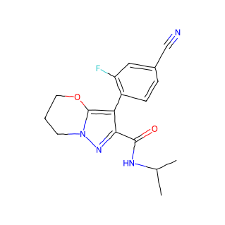 CC(C)NC(=O)c1nn2c(c1-c1ccc(C#N)cc1F)OCCC2